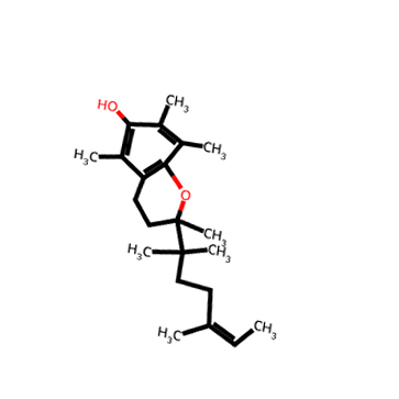 C/C=C(/C)CCC(C)(C)C1(C)CCc2c(C)c(O)c(C)c(C)c2O1